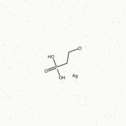 O=P(O)(O)CCCl.[Ag]